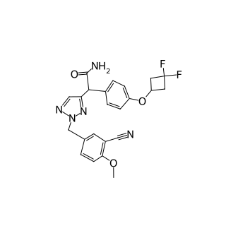 COc1ccc(Cn2ncc(C(C(N)=O)c3ccc(OC4CC(F)(F)C4)cc3)n2)cc1C#N